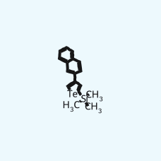 C[Si](C)(C)c1cc(-c2ccc3ccccc3c2)c[te]1